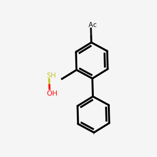 CC(=O)c1ccc(-c2cc[c]cc2)c(C)c1.OS